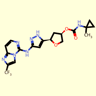 CC1(NC(=O)O[C@H]2CO[C@@H](c3cc(Nc4nccc5nc(C(F)(F)F)cn45)n[nH]3)C2)CC1